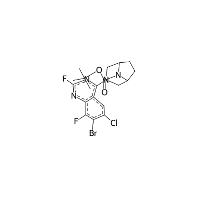 CC(C)(C)OC(=O)N1C2CCC1CN(c1nc(F)nc3c(F)c(Br)c(Cl)cc13)C2